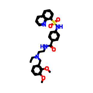 CCN(CCNC(=O)c1ccc(NS(=O)(=O)c2cccc3cccnc23)cc1)Cc1cccc(OC)c1OC